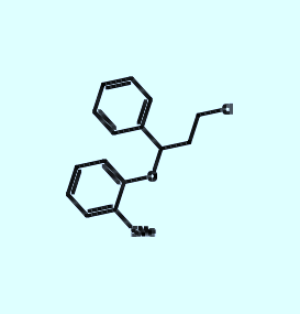 CSc1ccccc1OC(CCCl)c1ccccc1